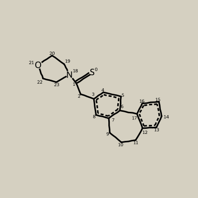 S=C(Cc1ccc2c(c1)CCCc1ccccc1-2)N1CCOCC1